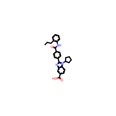 CCCc1ccccc1NC(=O)c1ccc(-c2nc3cc(C(=O)O)ccc3n2C2CCCC2)cc1